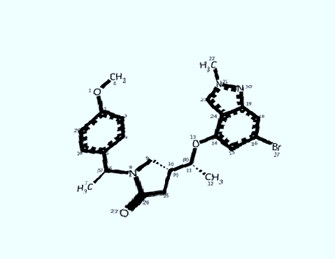 COc1ccc([C@H](C)N2C[C@H]([C@@H](C)Oc3cc(Br)cc4nn(C)cc34)CC2=O)cc1